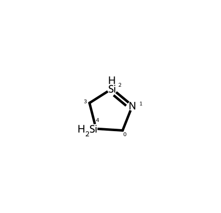 C1N=[SiH]C[SiH2]1